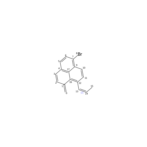 C=c1ccc2ccc(Br)c3ccc(/C=C\C)c1c23